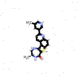 Cc1cncc(-c2ccc3c(ccc4sc5c(c43)NC[C@@H](C)NC5=O)n2)c1